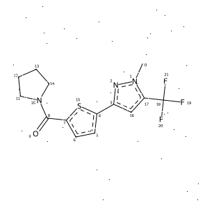 Cn1nc(-c2ccc(C(=O)N3CCCC3)s2)cc1C(F)(F)F